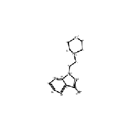 Brc1nn(CCN2CCOCC2)c2ncccc12